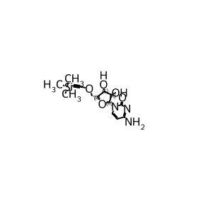 C[Si](C)(C)C#COC[C@H]1O[C@@H](n2ccc(N)nc2=O)[C@H](O)[C@@H]1O